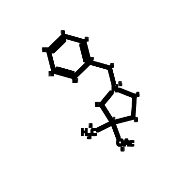 CC(=O)OC1(C)CCN(Cc2ccccc2)C1